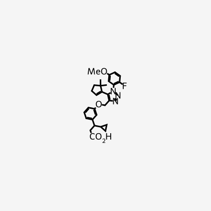 COc1ccc(F)c(-n2nnc(COc3cccc(C(CC(=O)O)C4CC4)c3)c2C2=CCCC2(C)C)c1